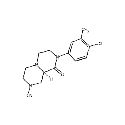 N#CN1CCN2CCN(c3ccc(Cl)c(C(F)(F)F)c3)C(=O)[C@H]2C1